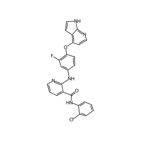 O=C(Nc1ccccc1Cl)c1cccnc1Nc1ccc(Oc2ccnc3[nH]ccc23)c(F)c1